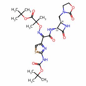 CC(C)(C)OC(=O)Nc1nc(C(=NOC(C)(C)C(=O)OC(C)(C)C)C(=O)N[C@@H]2C(=O)N[C@@H]2CN2CCOC2=O)cs1